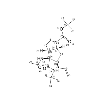 C=CC[C@@H]1C[C@@H]2[C@@H](CCN2C(=O)OC(C)(C)C)[C@@]1(NC(C)=O)C(=O)NC(C)(C)C